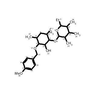 CCC1OC(OC2C(C)CC(C)C(OCc3ccc(OC)cc3)C2O)C(C)C(C)C1C